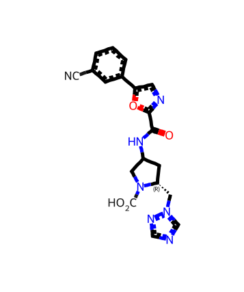 N#Cc1cccc(-c2cnc(C(=O)NC3C[C@H](Cn4cncn4)N(C(=O)O)C3)o2)c1